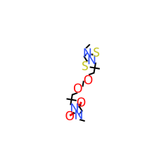 CCN1CC(=O)N(CC(C)(C)CCOCCOCCC(C)(C)CN2C(=S)CN(CC)C2=S)C1=O